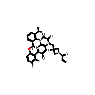 C=CC(=O)N1CC(F)(Cn2c(=O)c(=O)n(-c3c(C(C)C)cccc3C(C)C)c3nc(-c4c(O)ccc(F)c4F)c(Cl)cc32)C1